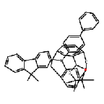 CC1(C)c2ccccc2-c2ccc(N(c3ccc(-c4ccccc4)cc3)c3cc4ccc3CCc3ccc(c(C5OC(C)(C)C(C)(C)O5)c3)CC4)cc21